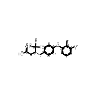 Cc1c(Br)cccc1Oc1ccc(C[C@H](CC(=O)O)C(F)(F)F)cc1